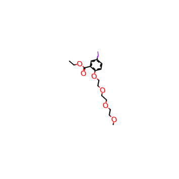 CCOC(=O)c1cc(I)ccc1OCCOCCOCCOC